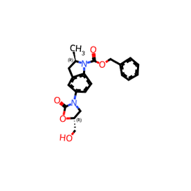 C[C@@H]1Cc2cc(N3C[C@H](CO)OC3=O)ccc2N1C(=O)OCc1ccccc1